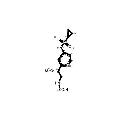 CO[C@@H](CNC(=O)O)c1cc(NS(=O)(=O)C2CC2)ccn1